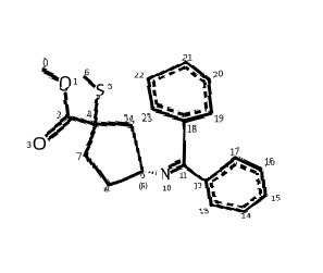 COC(=O)C1(SC)CC[C@@H](N=C(c2ccccc2)c2ccccc2)C1